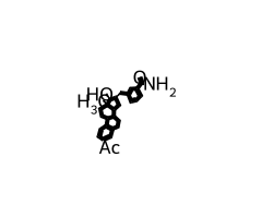 CC(=O)c1ccc2c(c1)CCC1C2CC[C@@]2(C)C1C[C@H](Cc1cccc(C(N)=O)c1)[C@@H]2O